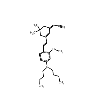 CCCCN(CCCC)c1ccc(C=CC2=CC(=CC#N)CC(C)(C)C2)c(OC)c1